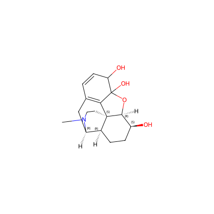 CN1CC[C@]23C4=C5C=CC(O)C4(O)O[C@H]2[C@@H](O)CC[C@H]3[C@H]1C5